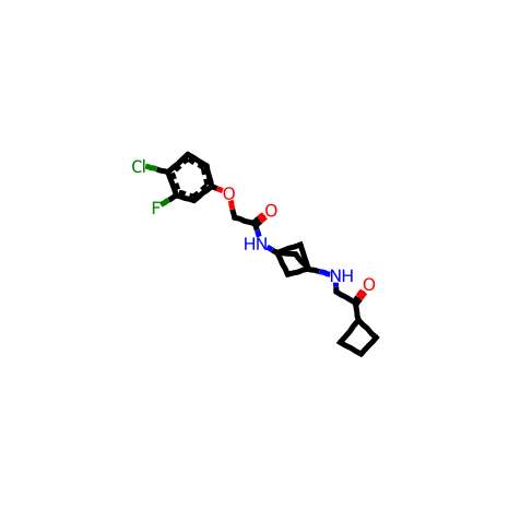 O=C(COc1ccc(Cl)c(F)c1)NC12CC(NCC(=O)C3CCC3)(C1)C2